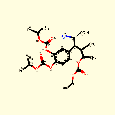 CCC(C)COC(=O)OC(C)C(C)C(c1ccc(OC(=O)OC(C)C(C)C)c(OC(=O)OC(C)C(C)C)c1)[C@H](N)C(=O)O